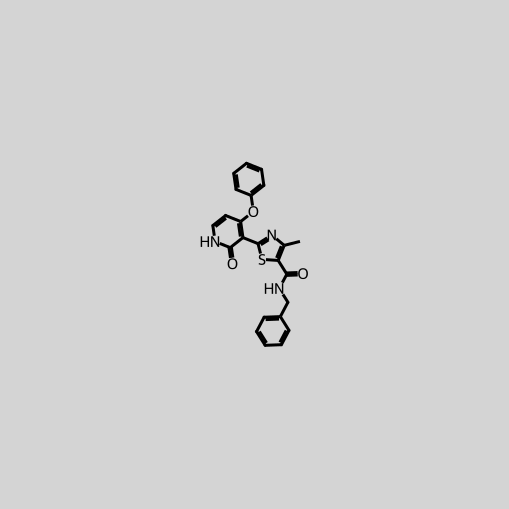 Cc1nc(-c2c(Oc3ccccc3)cc[nH]c2=O)sc1C(=O)NCc1ccccc1